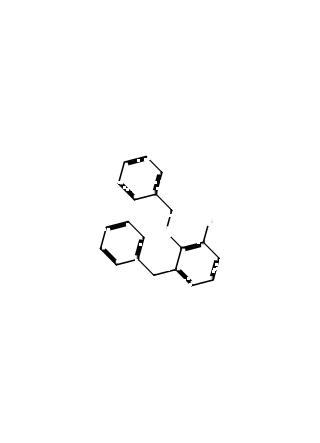 Brc1cccc(Cc2ccccc2)c1OCc1ccccc1